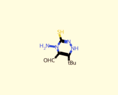 CC(C)(C)C1=C(C=O)N(N)C(S)=NN1